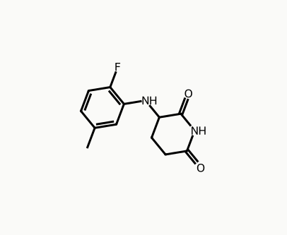 Cc1ccc(F)c(NC2CCC(=O)NC2=O)c1